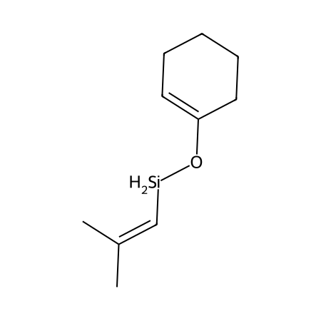 CC(C)=C[SiH2]OC1=CCCCC1